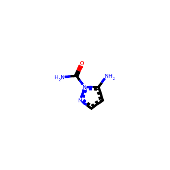 NC(=O)n1nccc1N